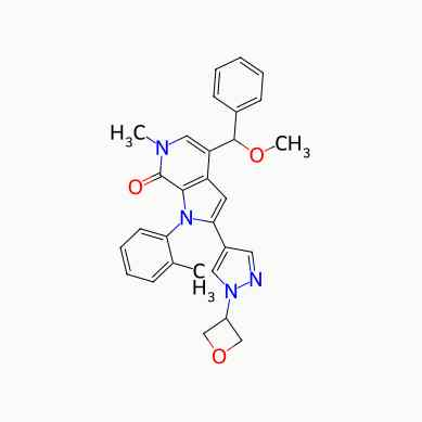 COC(c1ccccc1)c1cn(C)c(=O)c2c1cc(-c1cnn(C3COC3)c1)n2-c1ccccc1C